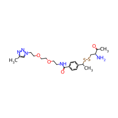 CC(=O)[C@@H](N)CSSC(C)c1ccc(C(=O)NCCOCCOCCn2cc(C)nn2)cc1